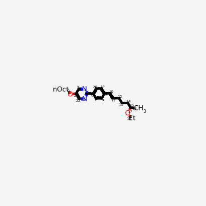 CCCCCCCCOc1cnc(-c2ccc(/C=C/CCCC(C)OCC)cc2)nc1